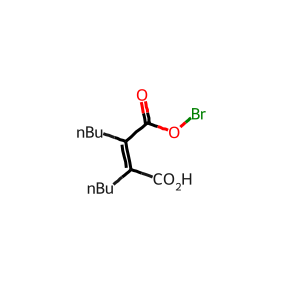 CCCC/C(C(=O)O)=C(\CCCC)C(=O)OBr